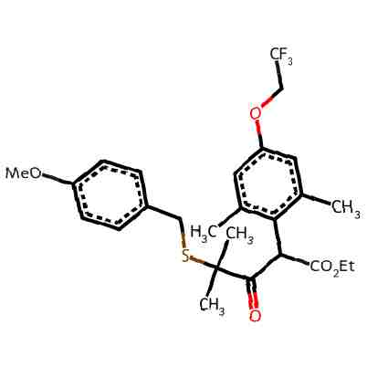 CCOC(=O)C(C(=O)C(C)(C)SCc1ccc(OC)cc1)c1c(C)cc(OCC(F)(F)F)cc1C